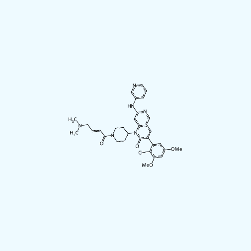 COc1cc(OC)c(Cl)c(-c2cc3cnc(Nc4cccnc4)cc3n(C3CCN(C(=O)/C=C/CN(C)C)CC3)c2=O)c1